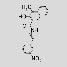 Cc1c(O)c(C(=O)NN=Cc2cccc([N+](=O)[O-])c2)cc2ccccc12